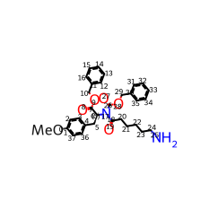 COc1ccc(C[C@@H](C(=O)OCc2ccccc2)N(C(=O)CCCCCN)C(=O)OCc2ccccc2)cc1